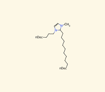 CCCCCCCCCCCCCCCCCCCC1N(C)C=CN1CCCCCCCCCCCCC